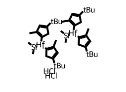 CC1=[C]([Hf]([C]2=C(C)C=C(C(C)(C)C)C2)=[Si](C)C)CC(C(C)(C)C)=C1.CC1=[C]([Hf]([C]2=C(C)C=C(C(C)(C)C)C2)=[Si](C)C)CC(C(C)(C)C)=C1.Cl.Cl